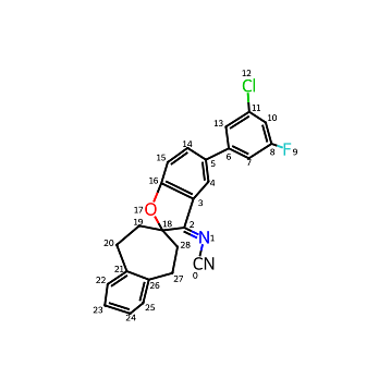 N#C/N=C1/c2cc(-c3cc(F)cc(Cl)c3)ccc2OC12CCc1ccccc1CC2